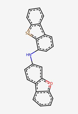 c1ccc2c(c1)oc1cc(Nc3cccc4c3sc3ccccc34)ccc12